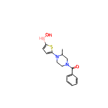 CC1CN(C(=O)c2ccccc2)CCN1c1ccc(BO)s1